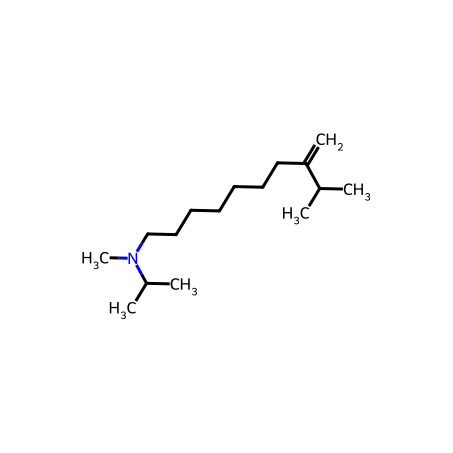 C=C(CCCCCCCN(C)C(C)C)C(C)C